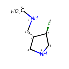 O=C(O)NC[C@H]1CNC[C@@H]1F